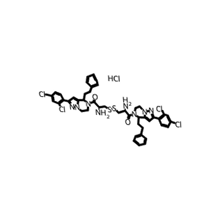 Cl.N[C@@H](CSSC[C@H](N)C(=O)N1CCn2nc(-c3ccc(Cl)cc3Cl)cc2C1CCc1ccccc1)C(=O)N1CCn2nc(-c3ccc(Cl)cc3Cl)cc2C1CCc1ccccc1